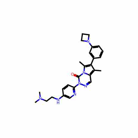 Cc1c(-c2cccc(N3CCC3)c2)c(C)n2c(=O)n(-c3ccc(NCCN(C)C)cn3)ncc12